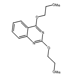 COCCOc1nc(OCCOC)c2ccccc2n1